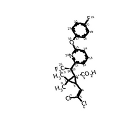 CC1(C)C(C=C(Cl)Cl)[C@]1(C(=O)O)[C@H](c1cccc(Oc2ccc(F)cc2)n1)C(F)(F)F